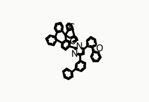 c1ccc(-c2cccc(-c3cc(-c4cccc5oc6ccccc6c45)nc(-c4ccc5c(c4)C4(c6ccccc6-c6ccccc6-5)c5ccccc5-c5ccccc54)n3)c2)cc1